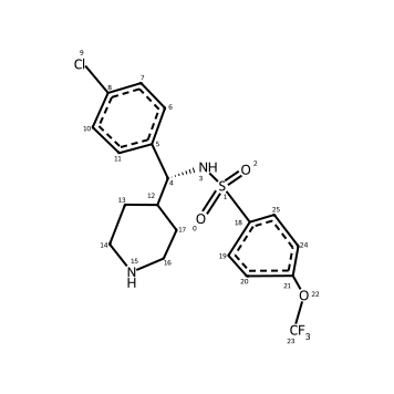 O=S(=O)(N[C@@H](c1ccc(Cl)cc1)C1CCNCC1)c1ccc(OC(F)(F)F)cc1